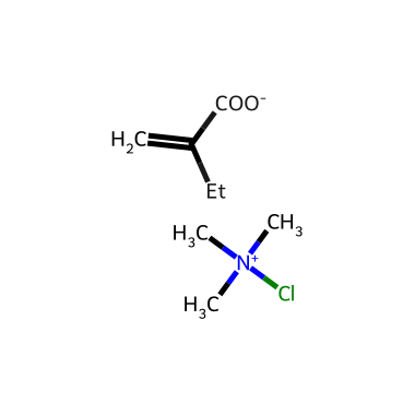 C=C(CC)C(=O)[O-].C[N+](C)(C)Cl